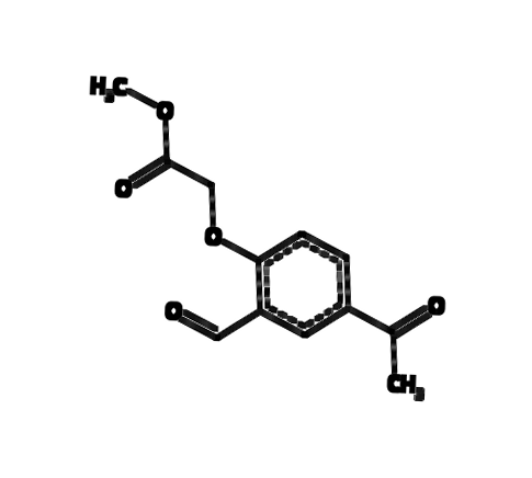 COC(=O)COc1ccc(C(C)=O)cc1C=O